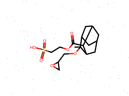 CC1(OCC2CO2)C2CC3CC(C2)C(C(=O)OCCS(=O)(=O)O)C1C3